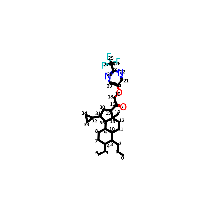 CCCC1C(CC)CCC2C1CCC1(C)C(C(=O)COc3cnc(C(F)(F)F)nc3)CC(C3CC3)C21